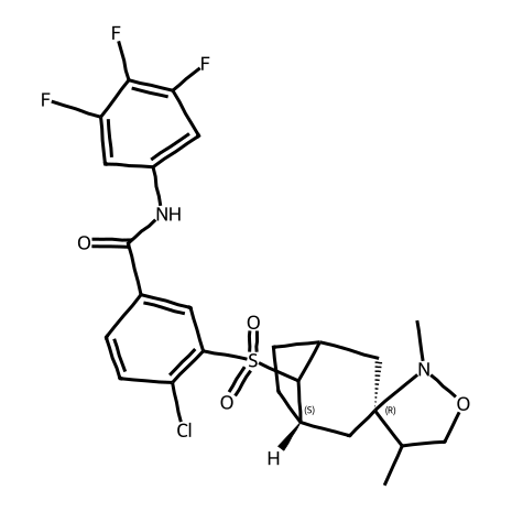 CC1CON(C)[C@@]12CC1CC[C@@H](C2)C1S(=O)(=O)c1cc(C(=O)Nc2cc(F)c(F)c(F)c2)ccc1Cl